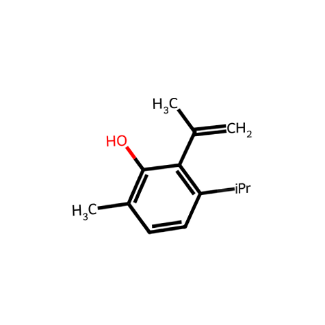 C=C(C)c1c(C(C)C)ccc(C)c1O